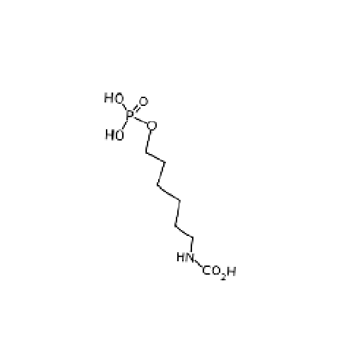 O=C(O)NCCCCCCOP(=O)(O)O